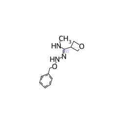 CN/C(=N\NOCc1ccccc1)C1COC1